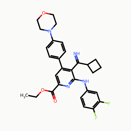 CCOC(=O)c1cc(-c2ccc(N3CCOCC3)cc2)c(C(=N)C2CCC2)c(Nc2ccc(F)c(F)c2)n1